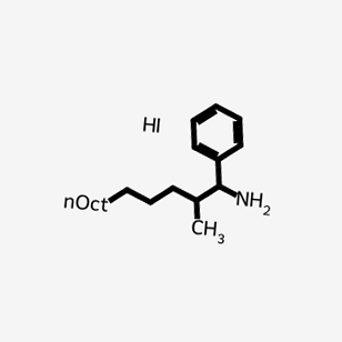 CCCCCCCCCCCC(C)C(N)c1ccccc1.I